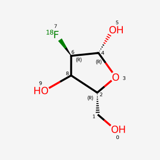 OC[C@H]1O[C@@H](O)[C@H]([18F])C1O